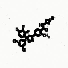 Cc1cc(C2=NOC(c3cc(Cl)cc(Cl)c3)(c3ccc(F)c(F)c3F)C2)ccc1C(=O)NC1C[S+]([O-])C1